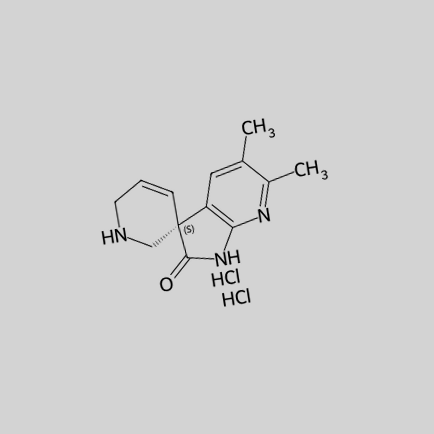 Cc1cc2c(nc1C)NC(=O)[C@@]21C=CCNC1.Cl.Cl